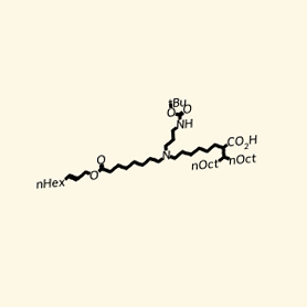 CCCCCCC=CCOC(=O)CCCCCCCN(CCCCCCC(C(=O)O)C(CCCCCCCC)CCCCCCCC)CCCNC(=O)OC(C)(C)C